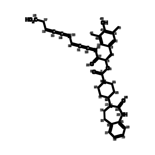 Cc1cc(C[C@@H](OC(=O)N2CCC(N3CCc4ccccc4NC3=O)CC2)C(=O)N=C=C=CN=C=C=CCC(=O)O)cc(C)c1O